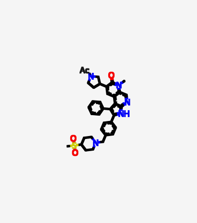 CC(=O)N1CCC(c2cc3c4c(-c5ccccc5)c(-c5ccc(CN6CCC(S(C)(=O)=O)CC6)cc5)[nH]c4ncc3n(C)c2=O)C1